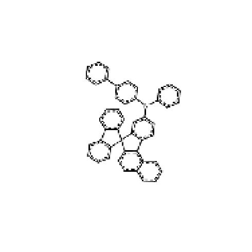 c1ccc(-c2ccc(N(c3ccccc3)c3ccc4c(c3)C3(c5ccccc5-c5ccccc53)c3ccc5ccccc5c3-4)cc2)cc1